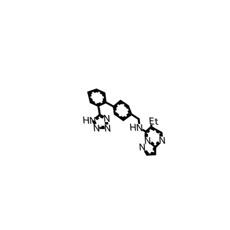 CCc1cnc2ccnn2c1NCc1ccc(-c2ccccc2-c2nnn[nH]2)cc1